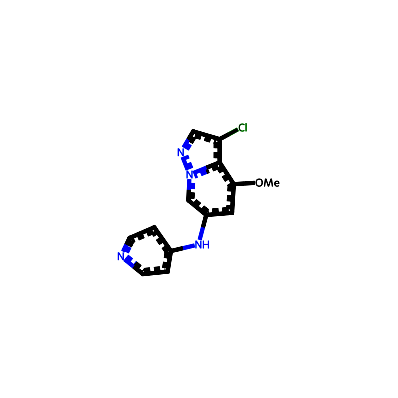 COc1cc(Nc2ccncc2)cn2ncc(Cl)c12